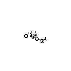 CC(C)c1cc(-c2ccc(S(=O)(=O)N[C@@]3(C(=O)O)[C@H](C)[C@@H]3c3ccccc3)s2)no1